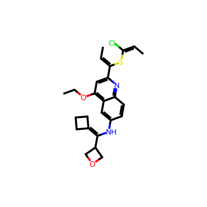 C/C=C(\S/C(Cl)=C\C)c1cc(OCC)c2cc(NC(=C3CCC3)C3COC3)ccc2n1